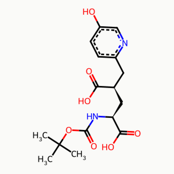 CC(C)(C)OC(=O)N[C@@H](C[C@H](Cc1ccc(O)cn1)C(=O)O)C(=O)O